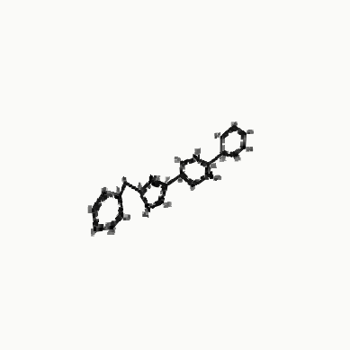 c1ccc(Cc2nc(-c3cnc(-c4ccccc4)nc3)cs2)cc1